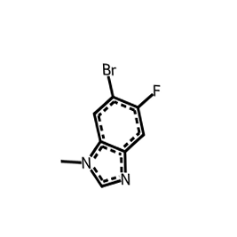 Cn1cnc2cc(F)c(Br)cc21